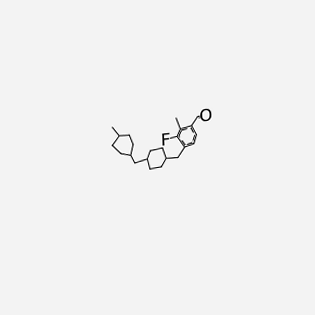 Cc1c(C=O)ccc(CC2CCC(CC3CCC(C)CC3)CC2)c1F